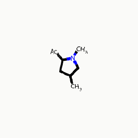 CC(=O)C1CC(C)CN1C